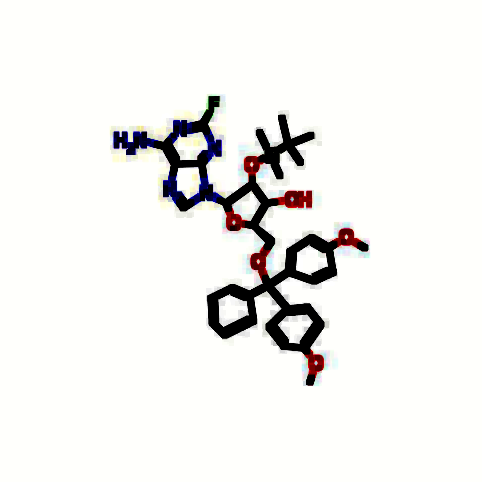 COc1ccc(C(OC[C@H]2O[C@@H](n3cnc4c(N)nc(F)nc43)C(O[Si](C)(C)C(C)(C)C)C2O)(c2ccccc2)c2ccc(OC)cc2)cc1